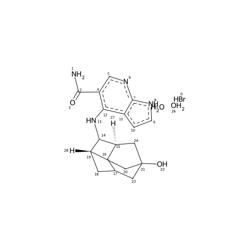 Br.NC(=O)c1cnc2[nH]ccc2c1NC1[C@@H]2CC3C[C@H]1CC(O)(C3)C2.O.O